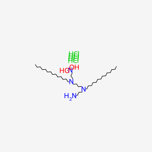 CCCCCCCCCCCCCCN(CCCN)CCCCN(CCCCCCCCCCCCCC)CCCN(O)O.Cl.Cl.Cl.Cl